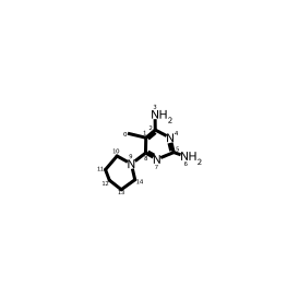 Cc1c(N)nc(N)nc1N1CCCCC1